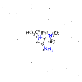 CCN(C(C)C)C(C)C.NC1CN(C(=O)O)C1